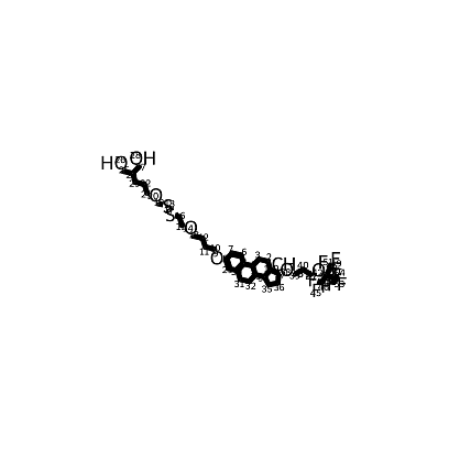 CC12CCC3c4ccc(OCCCCOCCSSCOCCCC(CO)CO)cc4CCC3C1CCC2OCCCOC(C(F)(F)F)(C(F)(F)F)C(F)(F)F